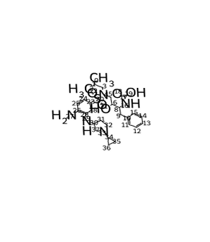 CC(C)CN(CC(O)C(Cc1ccccc1)NC(=O)O)S(=O)(=O)c1ccc(N)c(NC2CCN(C3CC3)C2)c1